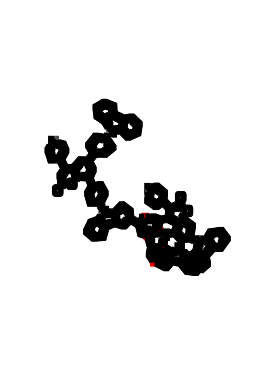 O=c1cc(-c2ccncc2)c2cc(-c3ccc(-n4c5ccccc5c5ccccc54)cc3)cc(-c3ccc(-n4c5ccccc5c5cc(-c6ccc7c(c6)c6ccccc6n7-c6c(-n7c8ccccc8c8ccccc87)c(-n7c8ccccc8c8ccccc87)cc7oc(=O)c(-c8ccncc8)c(-c8ccncc8)c67)ccc54)cc3)c2o1